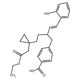 CCOC(=O)CC1(CCC(/C=C/c2ccccc2O)Cc2ccc(C(=O)O)cc2)CC1